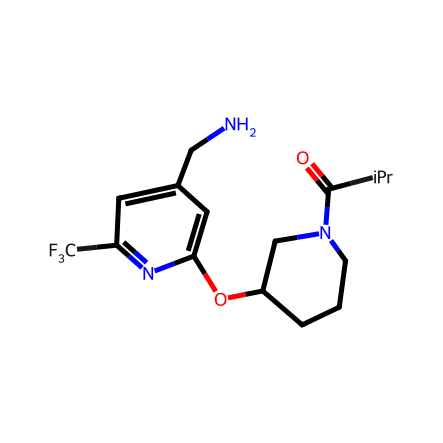 CC(C)C(=O)N1CCCC(Oc2cc(CN)cc(C(F)(F)F)n2)C1